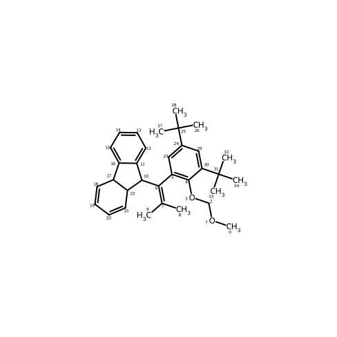 COCOc1c(C(=C(C)C)C2c3ccccc3C3C=CC=CC32)cc(C(C)(C)C)cc1C(C)(C)C